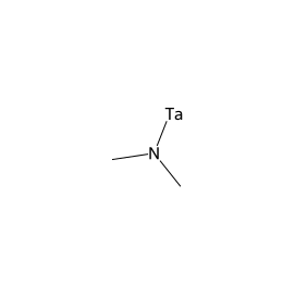 C[N](C)[Ta]